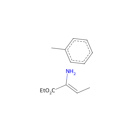 CC=C(N)C(=O)OCC.Cc1ccccc1